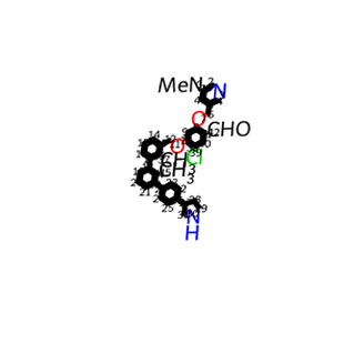 CNc1cncc(COc2cc(OCc3cccc(-c4cccc(-c5ccc(C6CCNC6)cc5)c4C)c3C)c(Cl)cc2C=O)c1